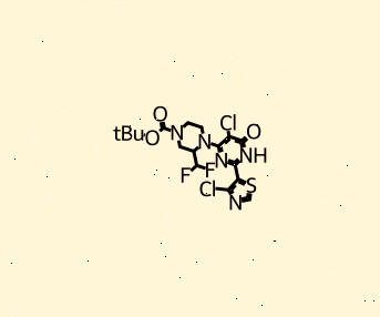 CC(C)(C)OC(=O)N1CCN(c2nc(-c3scnc3Cl)[nH]c(=O)c2Cl)C(C(F)F)C1